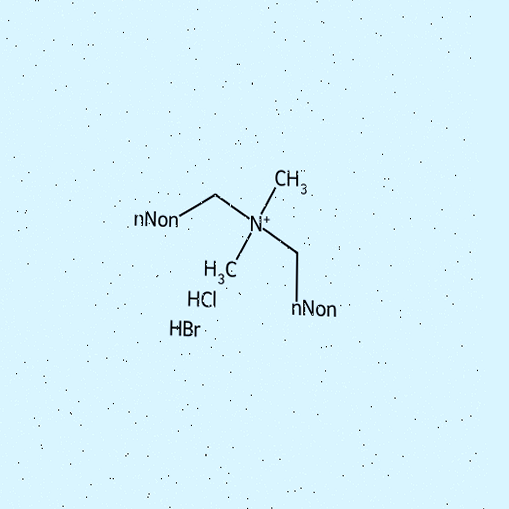 Br.CCCCCCCCCC[N+](C)(C)CCCCCCCCCC.Cl